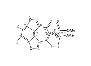 COc1ccc(-c2coc3c(C)c(C)c4occ(-c5ccc(OC)cc5)c4c23)cc1